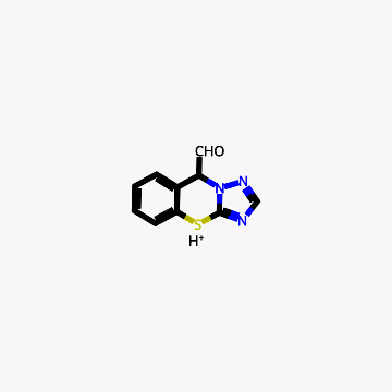 O=CC1c2ccccc2Sc2ncnn21.[H+]